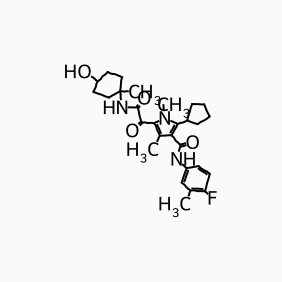 Cc1cc(NC(=O)c2c(C)c(C(=O)C(=O)NC3(C)CCC(O)CC3)n(C)c2C2CCCC2)ccc1F